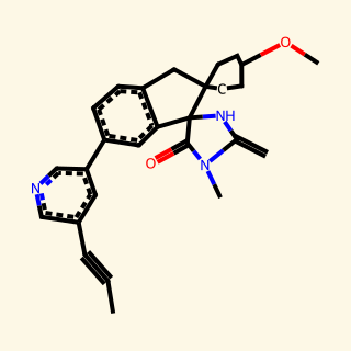 C=C1NC2(C(=O)N1C)c1cc(-c3cncc(C#CC)c3)ccc1CC21CCC(OC)CC1